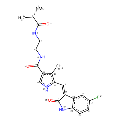 CN[C@@H](C)C(=O)NCCNC(=O)c1c[nH]c(/C=C2\C(=O)Nc3ccc(F)cc32)c1C